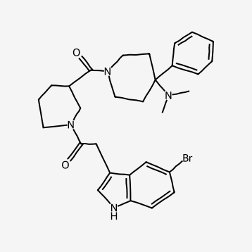 CN(C)C1(c2ccccc2)CCN(C(=O)C2CCCN(C(=O)Cc3c[nH]c4ccc(Br)cc34)C2)CC1